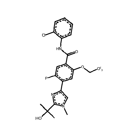 Cn1cc(-c2cc(OCC(F)(F)F)c(C(=O)Nc3ccccc3Cl)cc2F)nc1C(C)(C)O